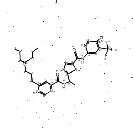 CCCN(CCC)CCCc1cc(C(=O)NC(C)c2ncc(C(=O)Nc3cc(C(F)(F)I)c(Cl)cn3)s2)ncn1